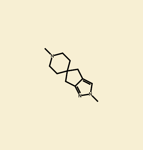 CN1CCC2(CC1)Cc1cn(C)nc1C2